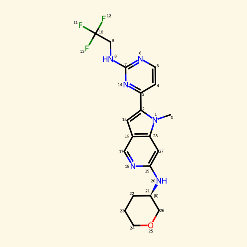 Cn1c(-c2ccnc(NCC(F)(F)F)n2)cc2cnc(N[C@@H]3CCCOC3)cc21